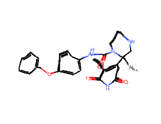 CCCCCCC1(C2=C(C)C(=O)NC2=O)CNCCN1C(=O)Nc1ccc(Oc2ccccc2)cc1